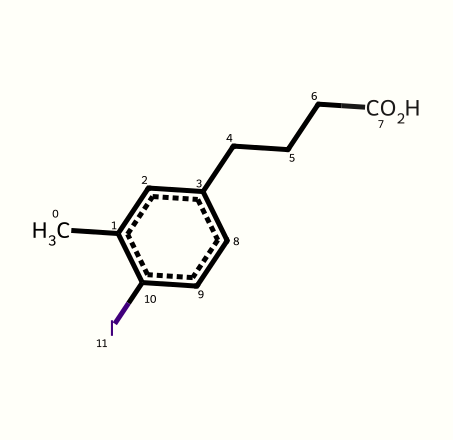 Cc1cc(CCCC(=O)O)ccc1I